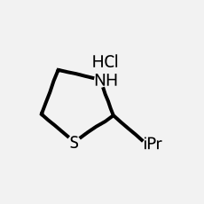 CC(C)C1NCCS1.Cl